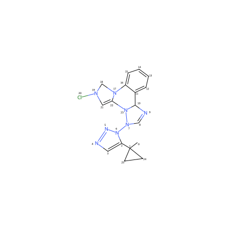 CC1(c2cnnn2N2C=NC3c4ccccc4N4CN(Cl)C=C4N32)CC1